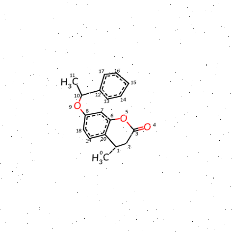 CC1CC(=O)Oc2cc(OC(C)c3ccccc3)ccc21